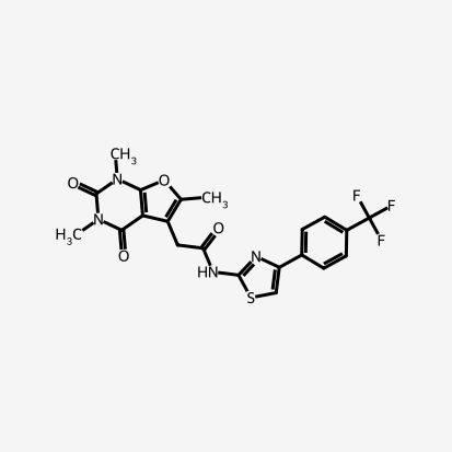 Cc1oc2c(c1CC(=O)Nc1nc(-c3ccc(C(F)(F)F)cc3)cs1)c(=O)n(C)c(=O)n2C